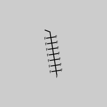 CCC(F)(F)C(F)(F)C(F)(F)C(F)(F)C(F)(F)C(F)(F)C(F)(F)F